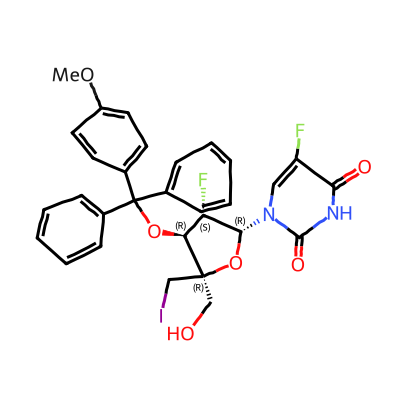 COc1ccc(C(O[C@H]2[C@H](F)[C@H](n3cc(F)c(=O)[nH]c3=O)O[C@@]2(CO)CI)(c2ccccc2)c2ccccc2)cc1